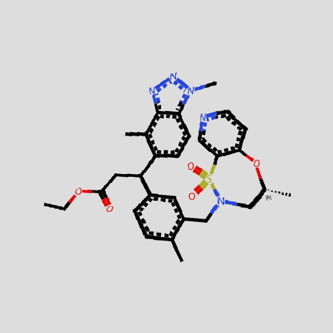 CCOC(=O)CC(c1ccc(C)c(CN2C[C@@H](C)Oc3ccncc3S2(=O)=O)c1)c1ccc2c(nnn2C)c1C